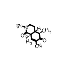 CC(C)N1CC[C@@H]2[C@@H](C)C(=O)C(C#N)=C[C@@]2(P)C1=O